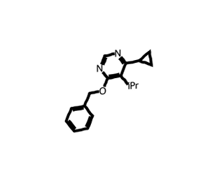 CC(C)c1c(OCc2ccccc2)ncnc1C1CC1